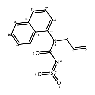 C=CCN(C(=O)N=S(=O)=O)c1cccc2ccccc12